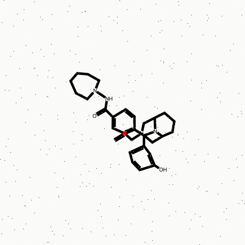 C=CCN1CC2CCCC(C1)N2C(c1ccc(C(=O)NN2CCCCCC2)cc1)c1cccc(O)c1